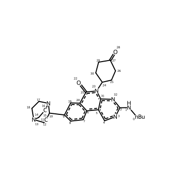 CCCCNc1ncc2c3ccc(C4CCN5CCN4CC5)cc3c(=O)n(C3CCC(=O)CC3)c2n1